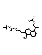 CC(COC(N)=O)c1cccc2c(O)c(CCCNC(=O)OC(C)(C)C)cnc12